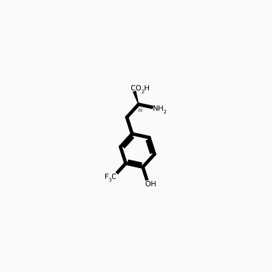 N[C@@H](Cc1ccc(O)c(C(F)(F)F)c1)C(=O)O